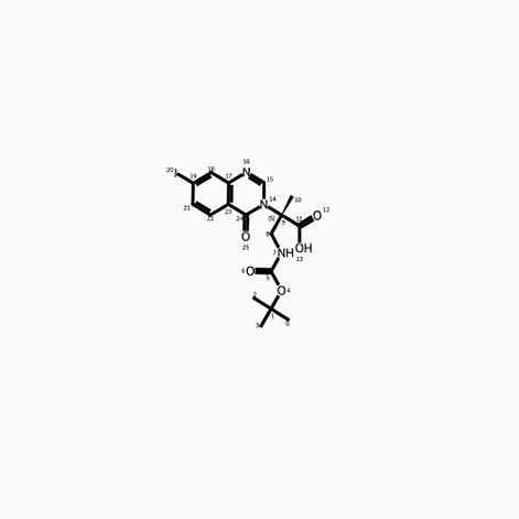 CC(C)(C)OC(=O)NC[C@@](C)(C(=O)O)n1cnc2cc(I)ccc2c1=O